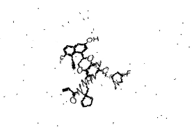 C#Cc1c(F)ccc2cc(O)cc(C3COc4c(NCC5(N(C)C(=O)C=C)CCCC5)nc(OC[C@@H]5C[C@@H](F)CN5C)nc4O3)c12